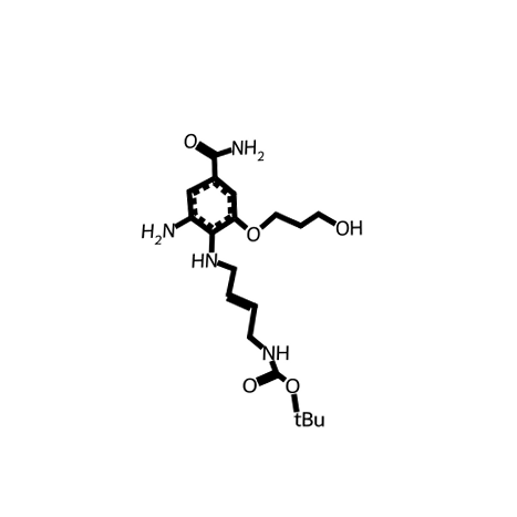 CC(C)(C)OC(=O)NC/C=C/CNc1c(N)cc(C(N)=O)cc1OCCCO